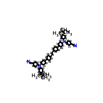 C[Si](C)(C)c1ccc(N(c2ccc(C#N)cc2)c2ccc(-c3ccc(/C=C/c4ccc(-c5ccc(N(c6ccc(C#N)cc6)c6ccc([Si](C)(C)C)cc6)cc5)cc4)cc3)cc2)cc1